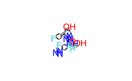 Cc1ncnn1-c1ccc(Nc2nc3n(n2)CC[C@@H](O)C[C@@H]3c2ccc(F)cc2)cc1F.O=C(O)C(F)(F)F